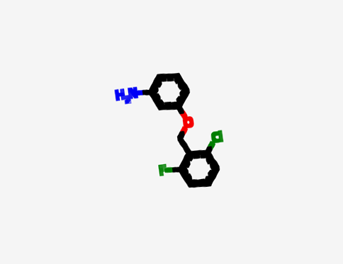 Nc1cccc(OCc2c(F)cccc2Cl)c1